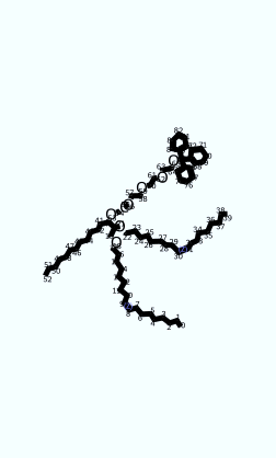 CCCCCCCC/C=C\CCCCCCCCOCC(OCCCCCCCC/C=C\CCCCCCCC)C(CCCCCCCCCCCC)OCCOCCOCCOCCOC(C1=CCCC=C1)(c1ccccc1)c1ccccc1